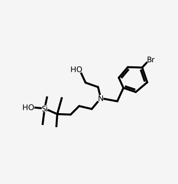 CC(C)(CCCN(CCO)Cc1ccc(Br)cc1)[Si](C)(C)O